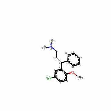 CCCCOc1ccc(Br)cc1[C@H](CCN(C(C)C)C(C)C)c1ccccc1